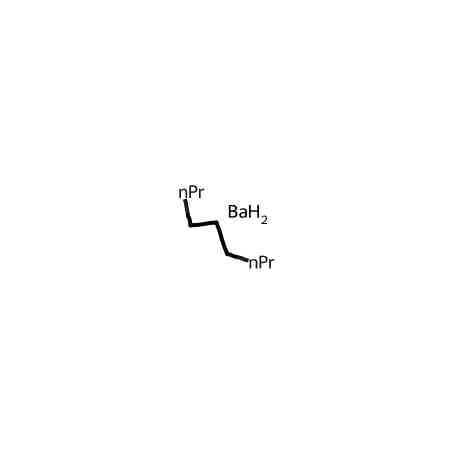 [BaH2].[CH2]CCCCCCCC